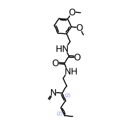 C=N/C(=C\C=C/C)CCNC(=O)C(=O)NCc1cccc(OC)c1OC